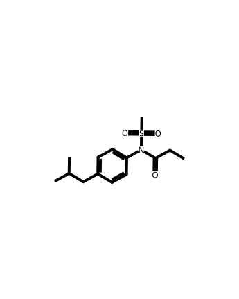 CCC(=O)N(c1ccc(CC(C)C)cc1)S(C)(=O)=O